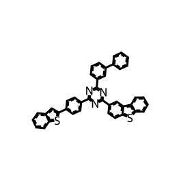 c1ccc(-c2cccc(-c3nc(-c4ccc(-c5cc6ccccc6s5)cc4)nc(-c4ccc5sc6ccccc6c5c4)n3)c2)cc1